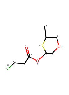 CC1COCC(OC(=O)CCCl)S1